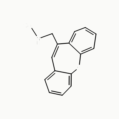 CCCCNCC1=Cc2ccccc2Oc2ccccc21